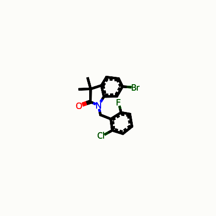 CC1(C)C(=O)N(Cc2c(F)cccc2Cl)c2cc(Br)ccc21